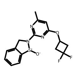 Cc1cc(OC2CC(F)(F)C2)nc(N2Cc3ccccc3[S+]2[O-])n1